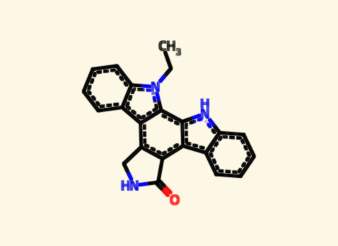 CCn1c2ccccc2c2c3c(c4c5ccccc5[nH]c4c21)C(=O)NC3